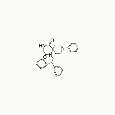 O=C1CNC(=O)C2(CCN(c3ccccc3)CC2)N1CC(c1ccccc1)c1ccccc1